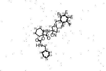 N#CC1(NC(=O)C2(OC(=O)NCc3ccccc3)CCCCC2)CCN(Cc2c(F)c(F)c(F)c(F)c2F)C1